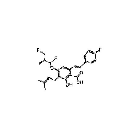 CC(C)=CCc1c(OC(F)C(F)CF)cc(C=Cc2ccc(F)cc2)c(C(=O)O)c1O